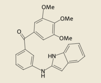 COc1cc(C(=O)c2cccc(Nc3cc4ccccc4[nH]3)c2)cc(OC)c1OC